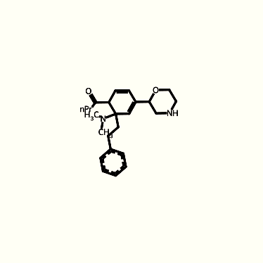 CCCC(=O)C1C=CC(C2CNCCO2)=CC1(CCc1ccccc1)N(C)C